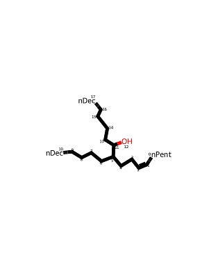 CCCCC/C=C\CCC(CCCCCCCCCCCCCC)C(O)CCCCCCCCCCCCCC